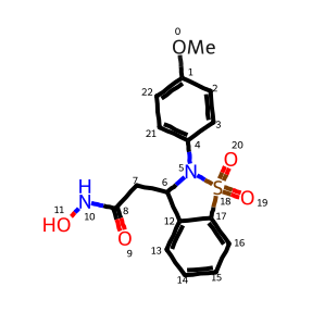 COc1ccc(N2C(CC(=O)NO)c3ccccc3S2(=O)=O)cc1